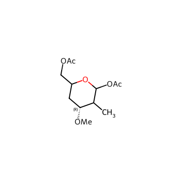 CO[C@@H]1CC(COC(C)=O)OC(OC(C)=O)C1C